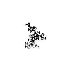 CC(C)(C)OC(=O)N[C@@]1(C(=O)O)C[C@@H](Sc2nnc(C3CC3)[nH]2)[C@H]2[C@H](C(=O)O)[C@H]21